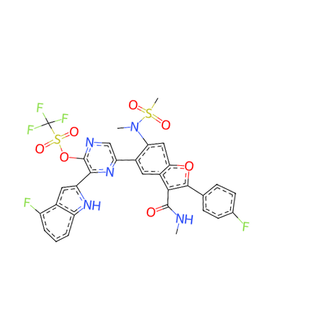 CNC(=O)c1c(-c2ccc(F)cc2)oc2cc(N(C)S(C)(=O)=O)c(-c3cnc(OS(=O)(=O)C(F)(F)F)c(-c4cc5c(F)cccc5[nH]4)n3)cc12